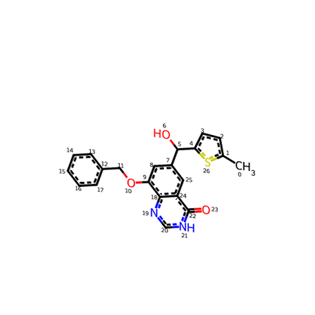 Cc1ccc(C(O)c2cc(OCc3ccccc3)c3nc[nH]c(=O)c3c2)s1